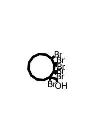 OCC1(Br)CCCCCCCCC(Br)C(Br)(Br)C1(Br)Br